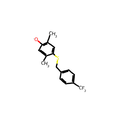 Cc1cc(SCc2ccc(C(F)(F)F)cc2)c(C)cc1[O]